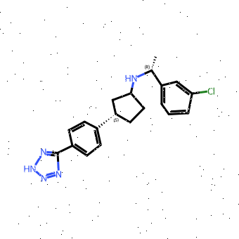 C[C@@H](NC1CC[C@H](c2ccc(-c3nn[nH]n3)cc2)C1)c1cccc(Cl)c1